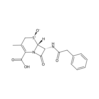 CC1=C(C(=O)O)N2C(=O)[C@@H](NC(=O)Cc3ccccc3)[C@H]2[S@+]([O-])C1